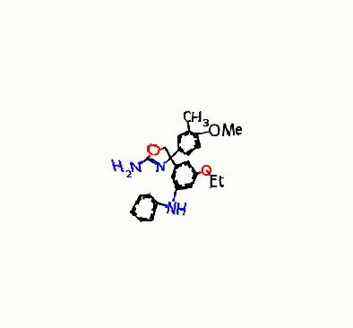 CCOc1cc(Nc2ccccc2)cc(C2(c3ccc(OC)c(C)c3)COC(N)=N2)c1